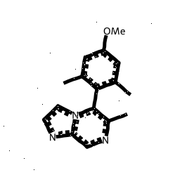 COc1cc(C)c(-c2c(C)ncc3nccn23)c(C)c1